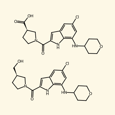 O=C(O)[C@@H]1CCN(C(=O)c2cc3cc(Cl)cc(NC4CCOCC4)c3[nH]2)C1.O=C(c1cc2cc(Cl)cc(NC3CCOCC3)c2[nH]1)N1CC[C@@H](CO)C1